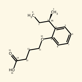 CC[C@@H](C)c1ccccc1OCCCC(=O)O